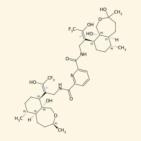 C[C@@H]1CC[C@@H](/C(CNC(=O)c2cccc(C(=O)NC/C(=C(/O)C(F)(F)F)[C@@H]3CC[C@@H](C)[C@@H]4CCC(C)(O)OC[C@]34O)n2)=C(\O)C(F)(F)F)[C@@]2(O)CO[C@@H](C)CC[C@@H]12